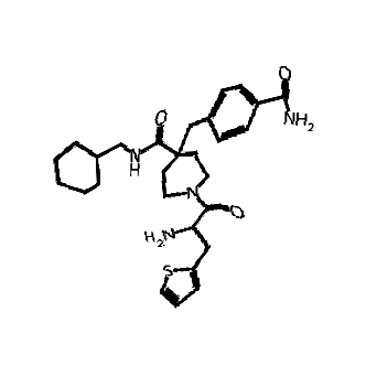 NC(=O)c1ccc(CC2(C(=O)NCC3CCCCC3)CCN(C(=O)C(N)Cc3cccs3)CC2)cc1